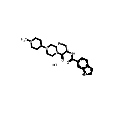 CC(C)C[C@@H](NC(=O)c1ccc2cc[nH]c2c1)C(=O)N1CCN(C2CCN(C)CC2)CC1.Cl